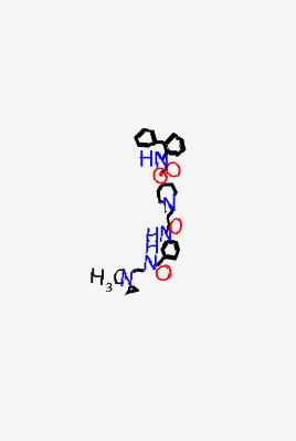 CN(CCNC(=O)c1cccc(NC(=O)CCN2CCC(OC(=O)Nc3ccccc3-c3ccccc3)CC2)c1)C1CC1